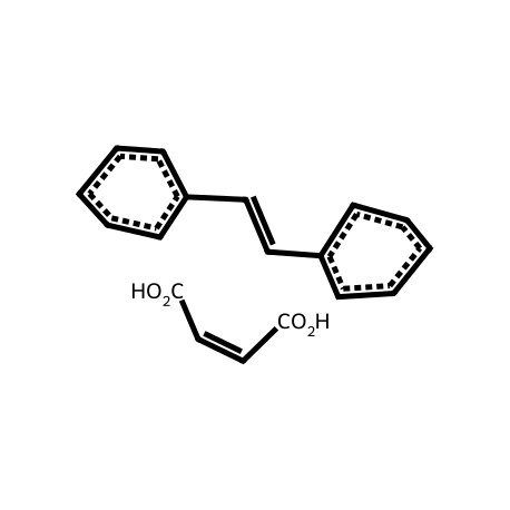 C(=C\c1ccccc1)/c1ccccc1.O=C(O)/C=C\C(=O)O